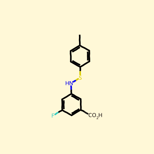 Cc1ccc(SNc2cc(F)cc(C(=O)O)c2)cc1